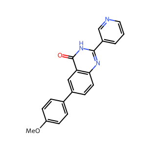 COc1ccc(-c2ccc3nc(-c4cccnc4)[nH]c(=O)c3c2)cc1